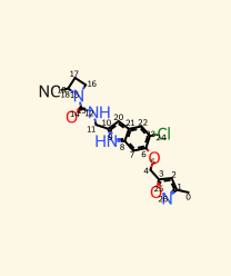 Cc1cc(COc2cc3[nH]c(CNC(=O)N4CCC4C#N)cc3cc2Cl)on1